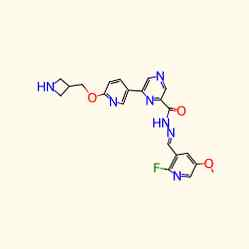 COc1cnc(F)c(/C=N/NC(=O)c2cncc(-c3ccc(OCC4CNC4)nc3)n2)c1